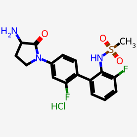 CS(=O)(=O)Nc1c(F)cccc1-c1ccc(N2CCC(N)C2=O)cc1F.Cl